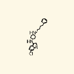 Clc1ccc2c(N[C@H]3CC[C@@H](NCCCCCc4ccccc4)CC3)ccnc2c1